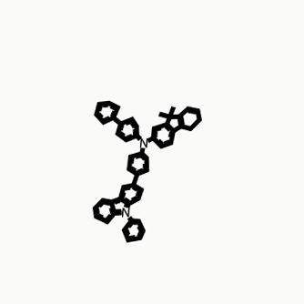 CC1(C)C2=C(CCC=C2)c2ccc(N(c3ccc(-c4ccccc4)cc3)c3ccc(-c4ccc5c(c4)c4ccccc4n5-c4ccccc4)cc3)cc21